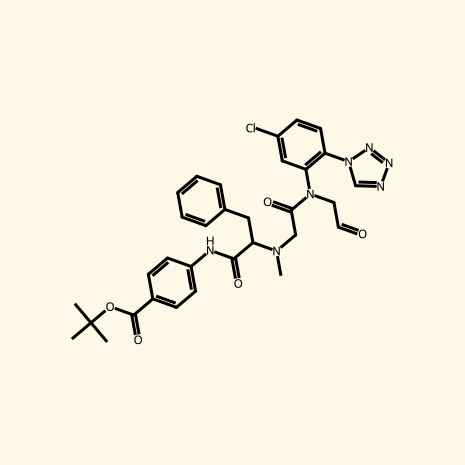 CN(CC(=O)N(CC=O)c1cc(Cl)ccc1-n1cnnn1)C(Cc1ccccc1)C(=O)Nc1ccc(C(=O)OC(C)(C)C)cc1